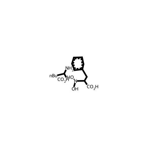 CCCCC(N)C(=O)O.O=C(O)C(Cc1ccccc1)N(O)O